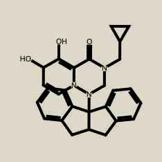 O=C1C2=C(O)C(O)C=CN2N(C23c4ccccc4CC2Cc2ccccc23)CN1CC1CC1